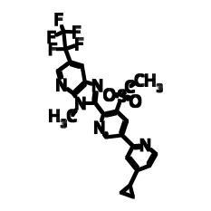 CCS(=O)(=O)c1cc(-c2cc(C3CC3)ccn2)cnc1-c1nc2cc(C(F)(F)C(F)(F)F)cnc2n1C